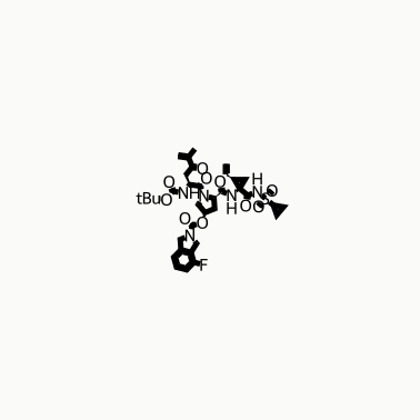 C=C[C@@H]1C[C@]1(NC(=O)[C@@H]1C[C@@H](OC(=O)N2Cc3cccc(F)c3C2)CN1C(=O)[C@H](CC(=O)C(=C)C)NC(=O)OC(C)(C)C)C(=O)NS(=O)(=O)C1CC1